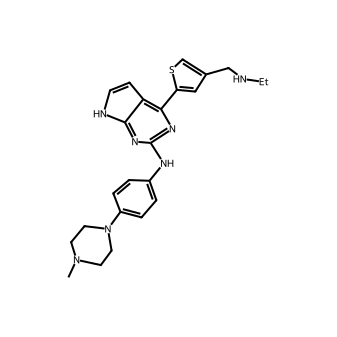 CCNCc1csc(-c2nc(Nc3ccc(N4CCN(C)CC4)cc3)nc3[nH]ccc23)c1